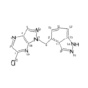 Clc1cnc2cnn(Cc3cccc4[nH]ncc34)c2n1